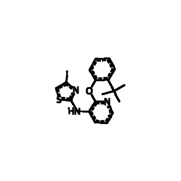 Cc1csc(Nc2cccnc2Oc2ccccc2C(C)(C)C)n1